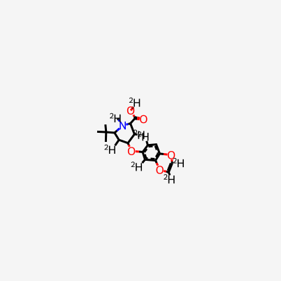 [2H]OC(=O)C1C([2H])C(Oc2c([2H])cc3c(c2[2H])OC([2H])=C([2H])O3)C([2H])C(C(C)(C)C)N1[2H]